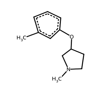 Cc1cccc(OC2CCN(C)C2)c1